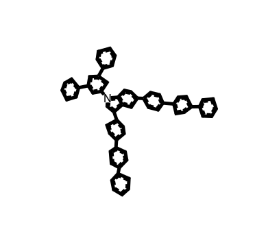 c1ccc(-c2ccc(-c3ccc(-c4ccc5c(c4)c(-c4ccc(-c6ccc(-c7ccccc7)cc6)cc4)cn5-c4cc(-c5ccccc5)cc(-c5ccccc5)c4)cc3)cc2)cc1